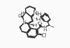 C[C@@H](NC(=O)c1c(Cl)ccc2c1[C@H]1C[C@@H]3NCCC[C@@H]3C(=O)N1CC2)c1ccccc1